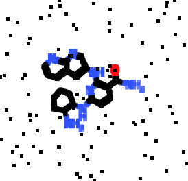 NC(=O)c1ccc(N[C@@H]2CCCC[C@@H]2N)nc1Nc1cnc2ncccc2c1